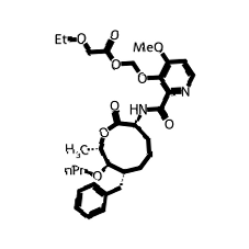 CCCO[C@@H]1[C@@H](Cc2ccccc2)CCC[C@H](NC(=O)c2nccc(OC)c2OCOC(=O)COCC)C(=O)O[C@H]1C